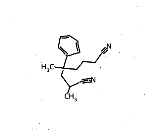 CC(C#N)CC(C)(CCCC#N)c1ccccc1